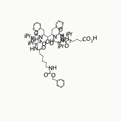 CC(C)[C@H](N)C(=O)N(C(=O)[C@@H](NC(=O)CCCCCNC(=O)OCc1ccccc1)C(C)C)C(Cc1ccccc1)C(O)C(Cc1ccccc1)N(C(=O)[C@@H](N)C(C)C)C(=O)[C@@H](NC(=O)CCCCC(=O)O)C(C)C